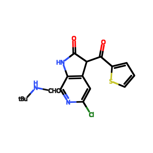 CC(C)(C)NC=O.O=C1Nc2cnc(Cl)cc2C1C(=O)c1cccs1